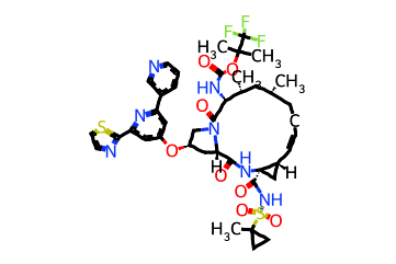 C[C@@H]1CC/C=C\[C@@H]2C[C@@]2(C(=O)NS(=O)(=O)C2(C)CC2)NC(=O)[C@@H]2C[C@@H](Oc3cc(-c4cccnc4)nc(-c4nccs4)c3)CN2C(=O)[C@@H](NC(=O)OC(C)(C)C(F)(F)F)[C@H](C)C1